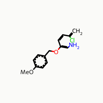 C=C(Cl)/C=C\C(=C/N)OCc1ccc(OC)cc1